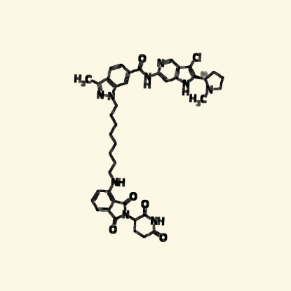 Cc1nn(CCCCCCCCNc2cccc3c2C(=O)N(C2CCC(=O)NC2=O)C3=O)c2cc(C(=O)Nc3cc4[nH]c([C@H]5CCCN5C)c(Cl)c4cn3)ccc12